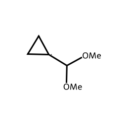 COC(OC)[C]1CC1